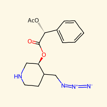 CC(=O)O[C@@H](C(=O)O[C@@H]1CNCCC1CN=[N+]=[N-])c1ccccc1